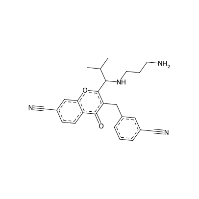 CC(C)C(NCCCN)c1oc2cc(C#N)ccc2c(=O)c1Cc1cccc(C#N)c1